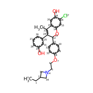 CCC1CN(CCOc2ccc(C3Oc4cc(Cl)c(O)cc4C(C)=C3c3cccc(O)c3)cc2)C1